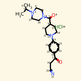 CC(C)N1CCN(C(=O)C2CCN(c3ccc(C(=O)CC#N)cc3)CC2)CC1.Cl